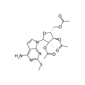 CSc1nc(N)c2ccn(C3O[C@H](COC(C)=O)[C@@H](OC(C)=O)[C@@]3(C)OC(C)=O)c2n1